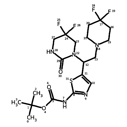 CC(C)(C)OC(=O)Nc1ncc(C(CN2CCC(F)(F)CC2)N2CC(F)(F)CNC2=O)s1